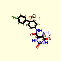 CO[C@]1(c2ccc(F)cc2)CC[C@@H](NC(=O)c2[nH]c(=O)[nH]c(=O)c2N)CC1